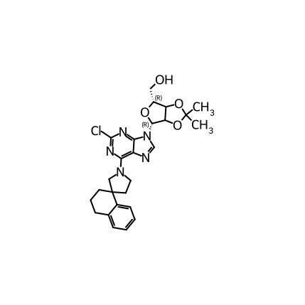 CC1(C)OC2C(O1)[C@@H](CO)O[C@H]2n1cnc2c(N3CCC4(CCCc5ccccc54)C3)nc(Cl)nc21